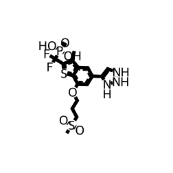 Cc1c(C(F)(F)P(=O)(O)O)sc2c(OCCCS(C)(=O)=O)cc(C3=CNNN3)cc12